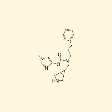 Cn1cnc(OC(=O)N(CCCc2ccccc2)CC2C3CNCC32)c1